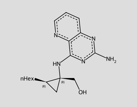 CCCCCC[C@@H]1C[C@@]1(CO)Nc1nc(N)nc2cccnc12